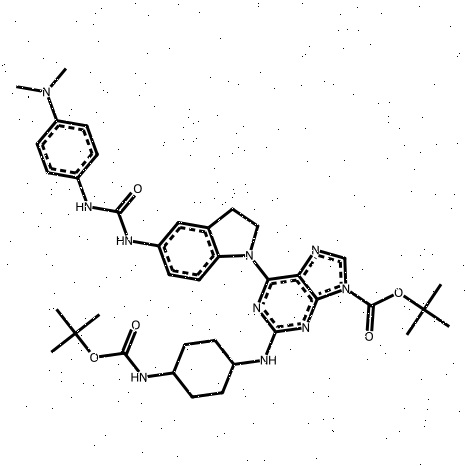 CN(C)c1ccc(NC(=O)Nc2ccc3c(c2)CCN3c2nc(NC3CCC(NC(=O)OC(C)(C)C)CC3)nc3c2ncn3C(=O)OC(C)(C)C)cc1